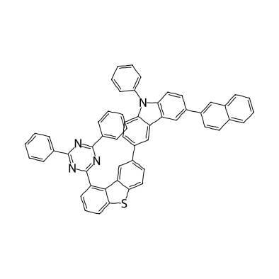 c1ccc(-c2nc(-c3ccccc3)nc(-c3cccc4sc5ccc(-c6ccc7c(c6)c6cc(-c8ccc9ccccc9c8)ccc6n7-c6ccccc6)cc5c34)n2)cc1